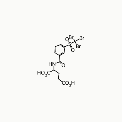 O=C(O)CCC(NC(=O)c1cccc(S(=O)(=O)C(Br)(Br)Br)c1)C(=O)O